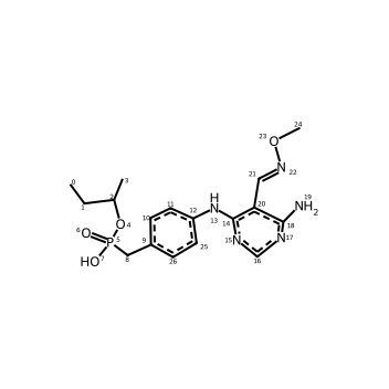 CCC(C)OP(=O)(O)Cc1ccc(Nc2ncnc(N)c2C=NOC)cc1